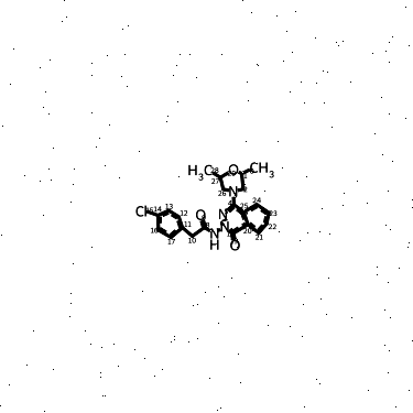 CC1CN(c2nn(NC(=O)Cc3ccc(Cl)cc3)c(=O)c3ccccc23)CC(C)O1